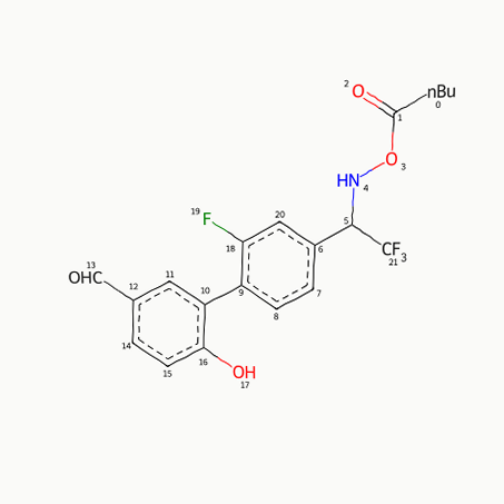 CCCCC(=O)ONC(c1ccc(-c2cc(C=O)ccc2O)c(F)c1)C(F)(F)F